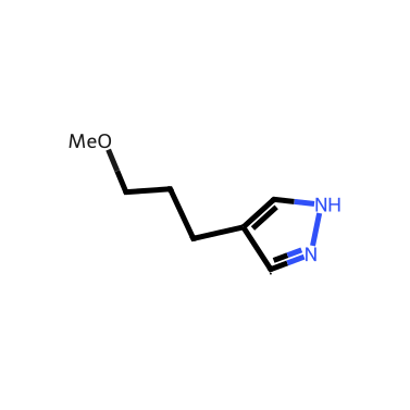 COCCCc1[c]n[nH]c1